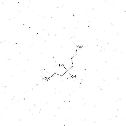 CCCCCCCCCCC(O)(O)CCC(=O)O